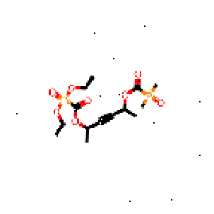 CCOP(=O)(OCC)C(=O)OC(C)C#CC(C)OC(=O)P(C)(C)=O